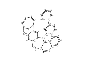 C1=CC2CC(C=C1)C1=CC3C(C=CC4C=Cc5ccccc5C4N3c3cccc(-c4ccccn4)n3)C=C1O2